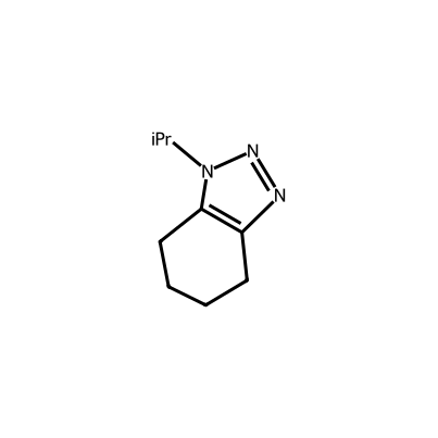 CC(C)n1nnc2c1CCCC2